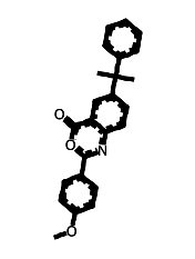 COc1ccc(-c2nc3ccc(C(C)(C)c4ccccc4)cc3c(=O)o2)cc1